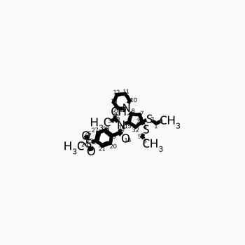 CCSC1(SCC)CC(N2CCCCC2)C(N(C(=O)c2ccc(S(C)(=O)=O)cc2)C(C)C)C1